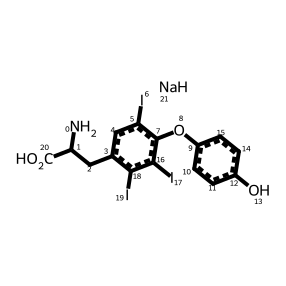 NC(Cc1cc(I)c(Oc2ccc(O)cc2)c(I)c1I)C(=O)O.[NaH]